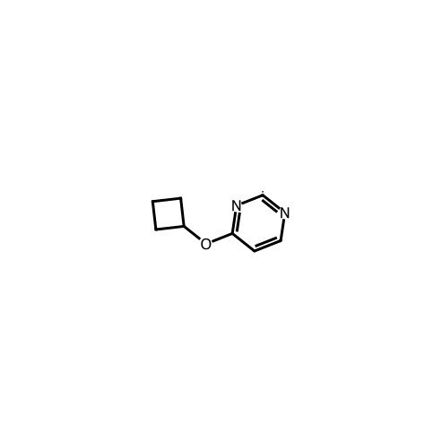 [c]1nccc(OC2CCC2)n1